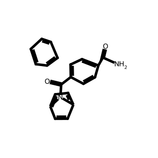 NC(=O)c1ccc(C(=O)n2c3ccc2cc3)cc1.c1ccccc1